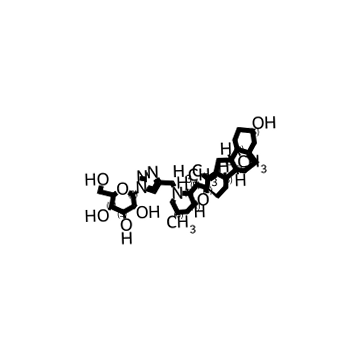 CC1=C2C[C@H]3[C@@H](CC=C4C[C@@H](O)CC[C@@]43C)[C@@H]2CC[C@]12O[C@@H]1C[C@H](C)CN(Cc3cn([C@@H]4OC(CO)[C@H](O)[C@H](O)C4O)nn3)[C@H]1[C@H]2C